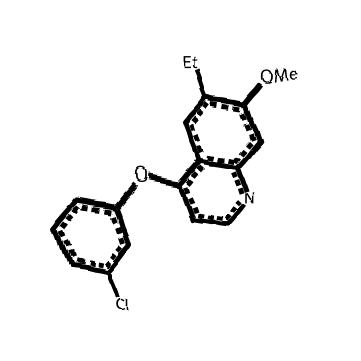 CCc1cc2c(Oc3cccc(Cl)c3)ccnc2cc1OC